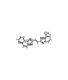 Cc1cccc2nc(C=Cc3nc4c5cccnc5ccn4n3)nn12